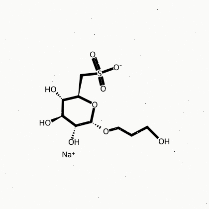 O=S(=O)([O-])C[C@H]1O[C@H](OCCCO)[C@H](O)[C@@H](O)[C@@H]1O.[Na+]